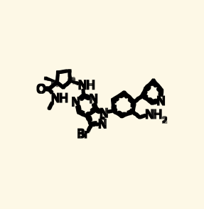 CNC(=O)[C@]1(C)CC[C@@H](Nc2ncc3c(Br)nn(-c4ccc(-c5cccnc5)c(CN)c4)c3n2)C1